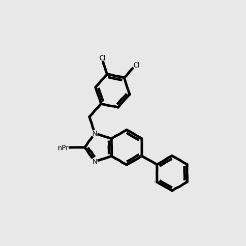 CCCc1nc2cc(-c3[c]cccc3)ccc2n1Cc1ccc(Cl)c(Cl)c1